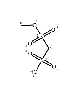 COS(=O)(=O)CS(=O)(=O)O